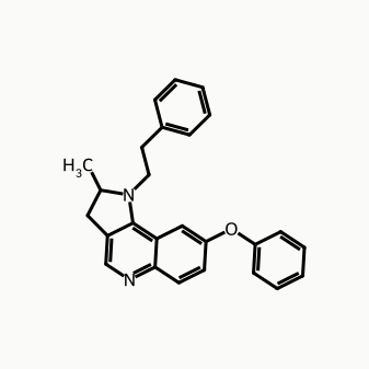 CC1Cc2cnc3ccc(Oc4ccccc4)cc3c2N1CCc1ccccc1